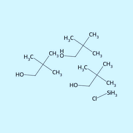 CC(C)(C)CO.CC(C)(C)CO.CC(C)(C)CO.[SiH3]Cl